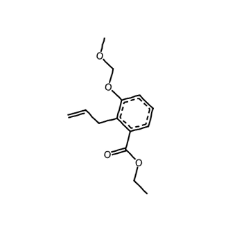 C=CCc1c(OCOC)cccc1C(=O)OCC